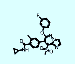 Cc1cc(-c2c(Oc3cccc(F)c3)nn3ccnc3c2S(C)(=O)=O)ccc1C(=O)NC1CC1